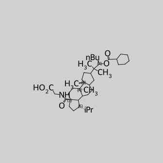 CCCC[C@@H](OC(=O)C1CCCCC1)C(C)(C)C1CC[C@]2(C)C(CCC3C4[C@H](C(C)C)CC[C@]4(C(=O)NCC(=O)O)CC[C@]32C)C1